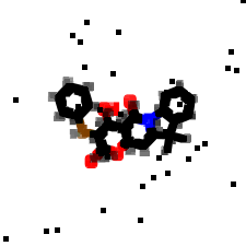 CC1(C)c2ccccc2-n2c1cc1oc(=O)c(Sc3ccccc3)c(O)c1c2=O